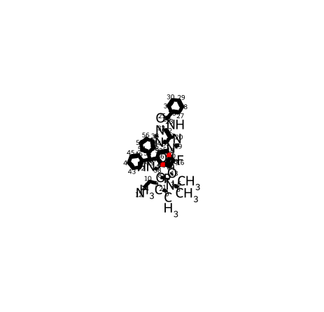 CC(C)N(C(C)C)P(OCCC#N)O[C@H]1[C@@H](F)[C@@H](n2cnc3c(NC(=O)c4ccccc4)ncnc32)O[C@@H]1CNC(c1ccccc1)(c1ccccc1)c1ccccc1